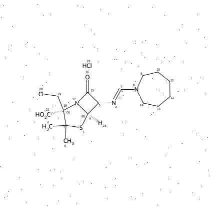 CC1(C)S[C@@H]2C(/N=C/N3CCCCCC3)C(=O)N2[C@@]1(CCl)C(=O)O.Cl